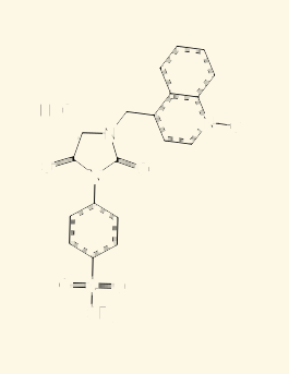 C[C@H]1C(=O)N(c2ccc(S(=O)(=O)C(F)(F)F)cc2)C(=O)N1Cc1cc[n+]([O-])c2ccccc12